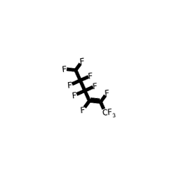 F/C(=C(/F)C(F)(F)C(F)(F)C(F)F)C(F)(F)F